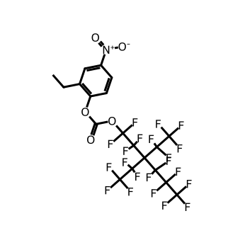 CCc1cc([N+](=O)[O-])ccc1OC(=O)OC(F)(F)C(F)(F)C(C(F)(F)C(F)(F)F)(C(F)(F)C(F)(F)F)C(F)(F)C(F)(F)C(F)(F)F